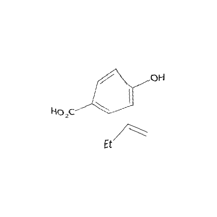 C=CCC.O=C(O)c1ccc(O)cc1